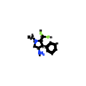 CN1C[C@H](N)[C@@H](c2ccccc2)C1C(F)F